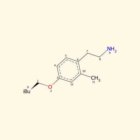 CC[C@H](C)COc1ccc(CCN)c(C)c1